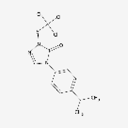 CC(C)c1ccc(-n2cnn(SC(Cl)(Cl)Cl)c2=O)cc1